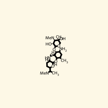 CNC(C)C1CC[C@H]2NO[C@H]3C(O[C@H]2O1)C(C)CC(N)[C@@H]3OC1OC[C@](C)(O)[C@H](NC)[C@H]1O